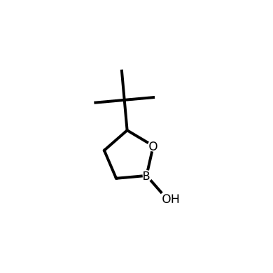 CC(C)(C)C1CCB(O)O1